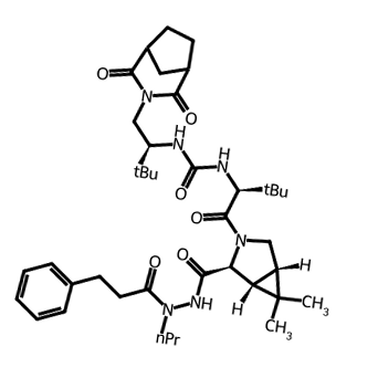 CCCN(NC(=O)[C@@H]1[C@@H]2[C@H](CN1C(=O)[C@@H](NC(=O)N[C@H](CN1C(=O)C3CCC(C3)C1=O)C(C)(C)C)C(C)(C)C)C2(C)C)C(=O)CCc1ccccc1